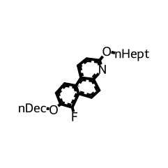 CCCCCCCCCCOc1ccc2c(ccc3nc(OCCCCCCC)ccc32)c1F